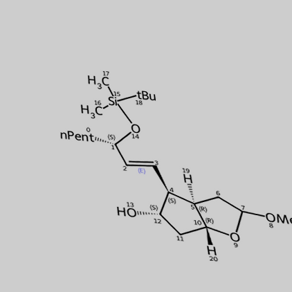 CCCCC[C@@H](/C=C/[C@H]1[C@H]2CC(OC)O[C@@H]2C[C@@H]1O)O[Si](C)(C)C(C)(C)C